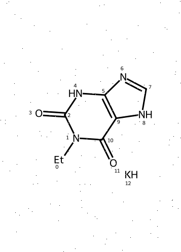 CCn1c(=O)[nH]c2nc[nH]c2c1=O.[KH]